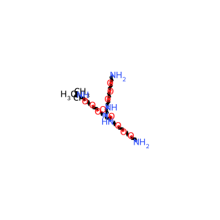 CC(C)(C)NCCOCCOCCOCCN(CC(=O)NCCOCCOCCOCCN)CC(=O)NCCOCCOCCOCCN